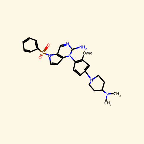 COc1cc(N2CCC(N(C)C)CC2)ccc1N1c2ccn(S(=O)(=O)c3ccccc3)c2C=NC1N